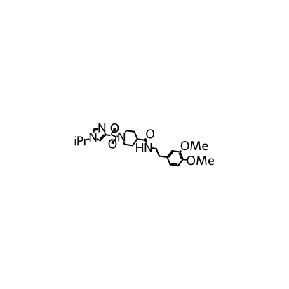 COc1ccc(CCNC(=O)C2CCN(S(=O)(=O)c3cn(C(C)C)cn3)CC2)cc1OC